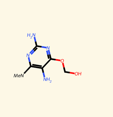 CNc1nc(N)nc(OCO)c1N